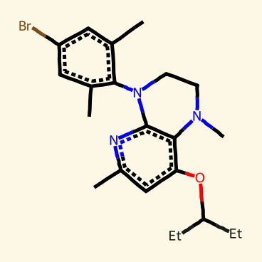 CCC(CC)Oc1cc(C)nc2c1N(C)CCN2c1c(C)cc(Br)cc1C